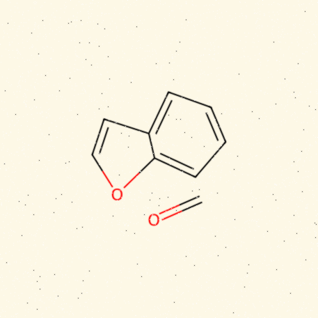 C=O.c1ccc2occc2c1